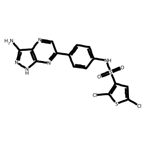 Nc1n[nH]c2nc(-c3ccc(NS(=O)(=O)c4cc(Cl)sc4Cl)cc3)cnc12